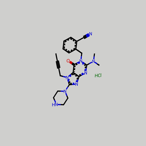 CC#CCn1c(N2CCNCC2)nc2nc(N(C)C)n(Cc3ccccc3C#N)c(=O)c21.Cl